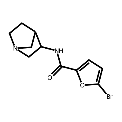 O=C(NC1CN2CCC1C2)c1ccc(Br)o1